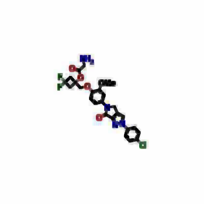 COc1cc(N2Cc3cn(-c4ccc(Cl)cc4)nc3C2=O)ccc1OCC1(OC(=O)CN)CC(F)(F)C1